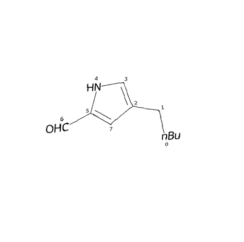 CCCCCc1c[nH]c(C=O)c1